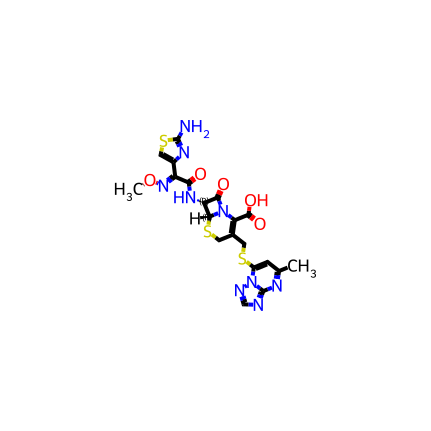 CON=C(C(=O)N[C@@H]1C(=O)N2C(C(=O)O)=C(CSc3cc(C)nc4ncnn34)CS[C@H]12)c1csc(N)n1